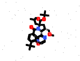 COC[C@H]1C[C@@](CC(C)C)(C(=O)OC(C)(C)C)N(C(=O)c2ccc(C(C)(C)C)c(OC)c2)[C@H]1c1cnccn1